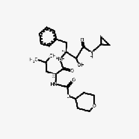 CC(C)C[C@H](NC(=O)OC1CCOCC1)C(=O)N[C@@H](Cc1ccccc1)C(O)C(=O)NC1CC1